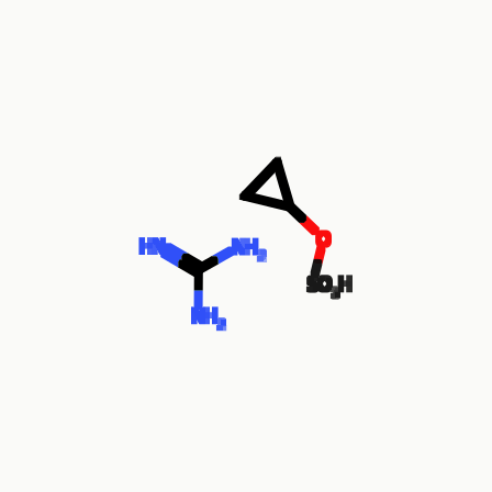 N=C(N)N.O=S(=O)(O)OC1CC1